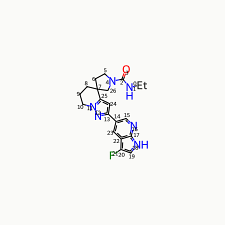 CCNC(=O)N1CCC2(CCCn3nc(-c4cnc5[nH]cc(F)c5c4)cc32)C1